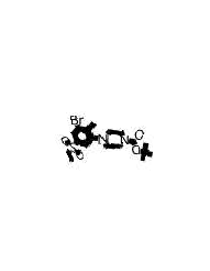 CCS(=O)(=O)c1cc(Br)c(C)c(N2CCN(C(=O)OC(C)(C)C)CC2)c1